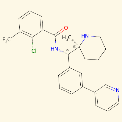 C[C@@]1([C@@H](NC(=O)c2cccc(C(F)(F)F)c2Cl)c2cccc(-c3cccnc3)c2)CCCCN1